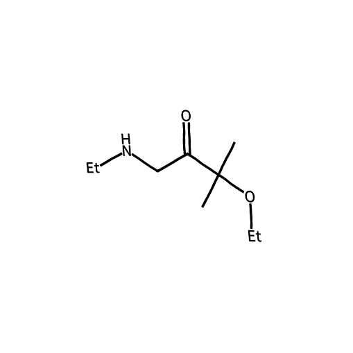 CCNCC(=O)C(C)(C)OCC